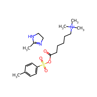 CC1=NCCN1.Cc1ccc(S(=O)(=O)OC(=O)CCCCC[N+](C)(C)C)cc1